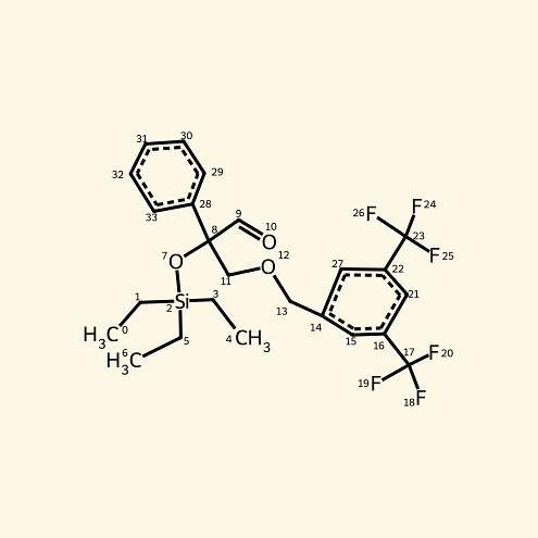 CC[Si](CC)(CC)OC(C=O)(COCc1cc(C(F)(F)F)cc(C(F)(F)F)c1)c1ccccc1